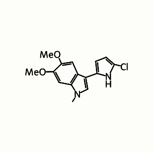 COc1cc2c(-c3ccc(Cl)[nH]3)cn(C)c2cc1OC